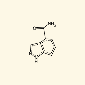 NC(=O)c1cccc2[nH]ncc12